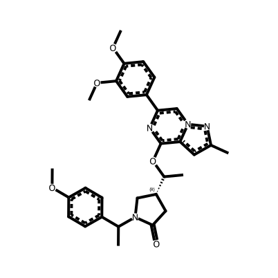 COc1ccc(C(C)N2C[C@H](C(C)Oc3nc(-c4ccc(OC)c(OC)c4)cn4nc(C)cc34)CC2=O)cc1